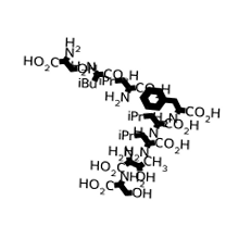 CC(C)CC(N)C(=O)O.CC(C)CC(N)C(=O)O.CC(C)CC(N)C(=O)O.CC(O)C(N)C(=O)O.CCC(C)C(N)C(=O)O.NC(CO)C(=O)O.NC(CO)C(=O)O.NC(Cc1ccccc1)C(=O)O